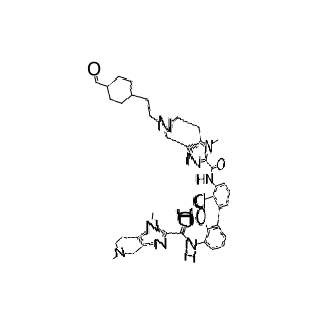 CN1CCc2c(nc(C(=O)Nc3cccc(-c4cccc(NC(=O)c5nc6c(n5C)CCN(CCC5CCC(C=O)CC5)C6)c4Cl)c3O)n2C)C1